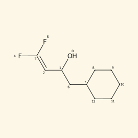 OC(C=C(F)F)CC1CCCCC1